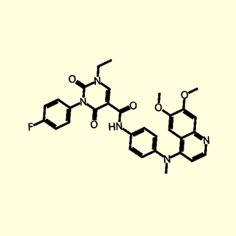 CCn1cc(C(=O)Nc2ccc(N(C)c3ccnc4cc(OC)c(OC)cc34)cc2)c(=O)n(-c2ccc(F)cc2)c1=O